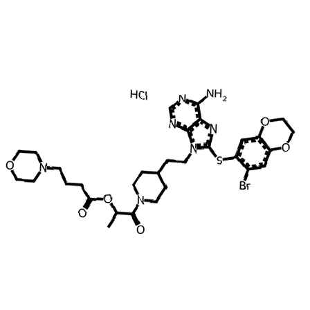 CC(OC(=O)CCCN1CCOCC1)C(=O)N1CCC(CCn2c(Sc3cc4c(cc3Br)OCCO4)nc3c(N)ncnc32)CC1.Cl